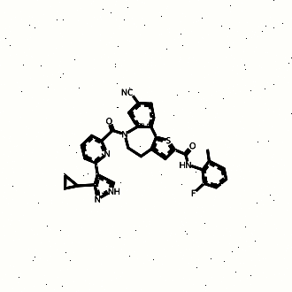 Cc1cccc(F)c1NC(=O)c1cc2c(s1)-c1ccc(C#N)cc1N(C(=O)c1cccc(-c3c[nH]nc3C3CC3)n1)CC2